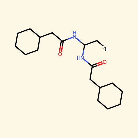 [2H]CC(NC(=O)CC1CCCCC1)NC(=O)CC1CCCCC1